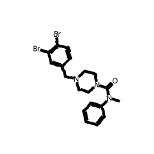 CN(C(=O)N1CCN(Cc2ccc(Br)c(Br)c2)CC1)c1ccccc1